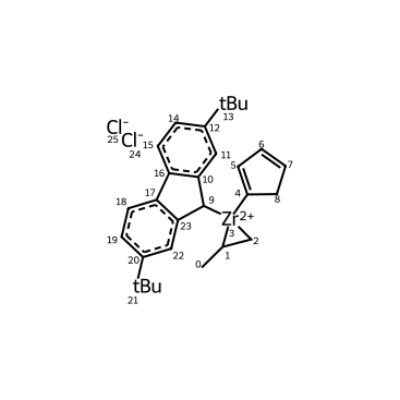 C[CH]1[CH2][Zr+2]1([C]1=CC=CC1)[CH]1c2cc(C(C)(C)C)ccc2-c2ccc(C(C)(C)C)cc21.[Cl-].[Cl-]